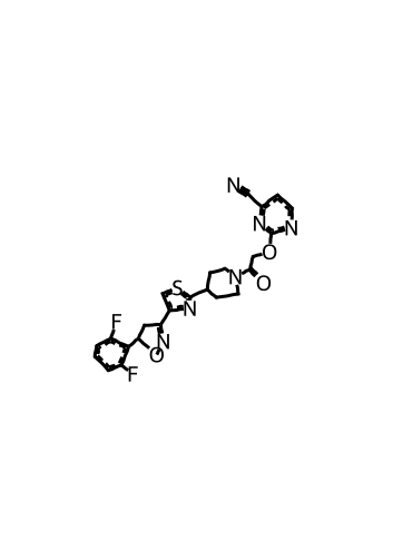 N#Cc1ccnc(OCC(=O)N2CCC(c3nc(C4=NOC(c5c(F)cccc5F)C4)cs3)CC2)n1